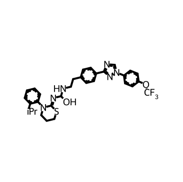 CC(C)c1ccccc1N1CCCS/C1=N\C(O)NCCc1ccc(-c2ncn(-c3ccc(OC(F)(F)F)cc3)n2)cc1